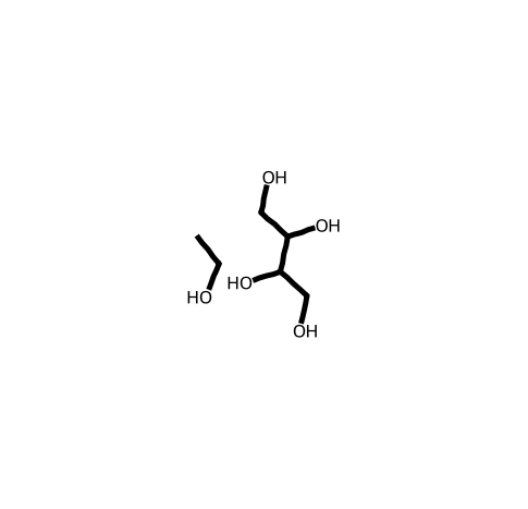 CCO.OCC(O)C(O)CO